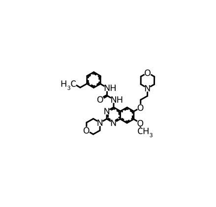 CCc1cccc(NC(=O)Nc2nc(N3CCOCC3)nc3cc(OC)c(OCCN4CCOCC4)cc23)c1